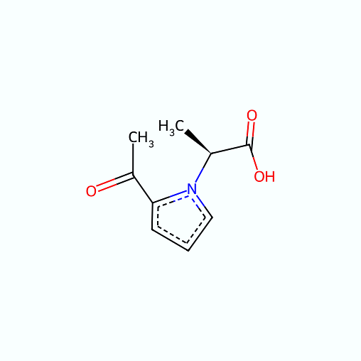 CC(=O)c1cccn1[C@@H](C)C(=O)O